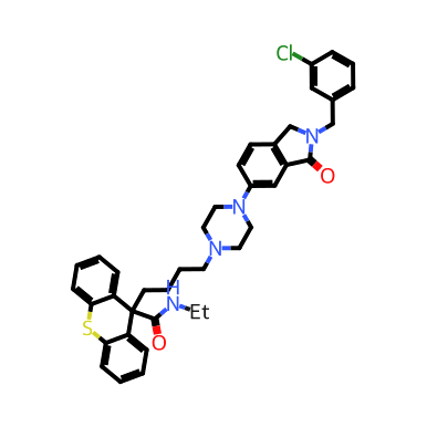 CCNC(=O)C1(CCCCN2CCN(c3ccc4c(c3)C(=O)N(Cc3cccc(Cl)c3)C4)CC2)c2ccccc2Sc2ccccc21